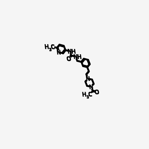 CC(=O)N1CCN(CCc2cccc(CNC(=O)Nc3ccc(C)nc3)c2)CC1